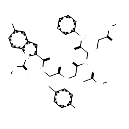 CC(C)(C)OC(=O)CC[C@H](NC(=O)[C@H](CC(=O)OC(C)(C)C)NC(=O)[C@H](Cc1ccc(Cl)cc1)NC(=O)c1cc2cc(Cl)ccc2n1C(=O)OC(C)(C)C)C(=O)Nc1ccccc1